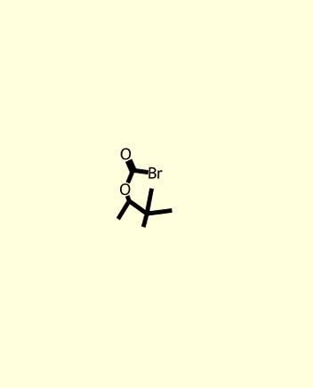 CC(OC(=O)Br)C(C)(C)C